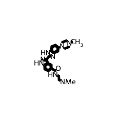 CNCCNC(=O)c1ccc2[nH]nc(-c3nc4cc(N5CCN(C)CC5)ccc4[nH]3)c2c1